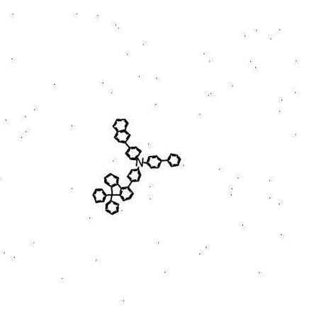 c1ccc(-c2ccc(N(c3ccc(-c4ccc5ccccc5c4)cc3)c3ccc(-c4cccc5c4-c4ccccc4C5(c4ccccc4)c4ccccc4)cc3)cc2)cc1